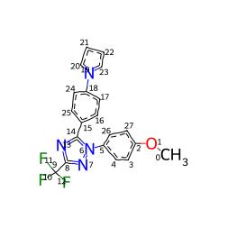 COc1ccc(-n2nc(C(F)(F)F)nc2-c2ccc(-n3cccc3)cc2)cc1